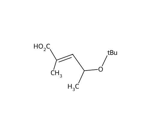 CC(=CC(C)OC(C)(C)C)C(=O)O